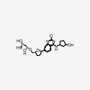 OC1CCC(Nc2nc(Cl)nc3cc(C4CC[C@@H](COP(O)CP(O)O)O4)ccc23)C1